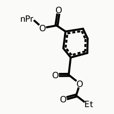 CCCOC(=O)c1cccc(C(=O)OC(=O)CC)c1